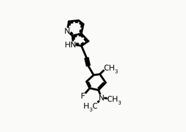 CC1C=C(N(C)C)C(F)=CC1C#Cc1cc2cccnc2[nH]1